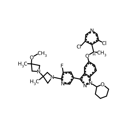 COC1(C)CN(C2(C)CN(c3ncc(-c4nn(C5CCCCO5)c5ccc(O[C@H](C)c6c(Cl)cncc6Cl)cc45)cc3F)C2)C1